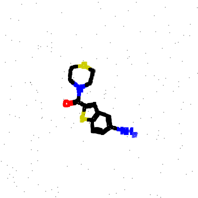 Nc1ccc2sc(C(=O)N3CCSCC3)cc2c1